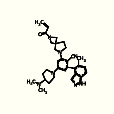 C=CC(=O)N1CC2(CCN(c3cc(N4CCC(N(C)C)CC4)cc(-c4c(C)ccc5[nH]ncc45)c3C#N)C2)C1